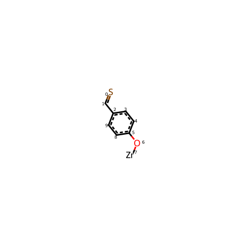 S=Cc1ccc([O][Zr])cc1